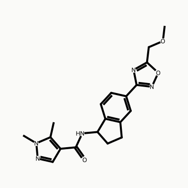 COCc1nc(-c2ccc3c(c2)CCC3NC(=O)c2cnn(C)c2C)no1